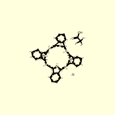 O=C(O)C(F)(F)F.[Si].c1ccc2c(c1)-c1nc-2nc2[nH]c(nc3nc(nc4[nH]c(n1)c1ccccc41)-c1ccccc1-3)c1ccccc21